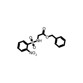 O=C(CNS(=O)(=O)c1ccccc1[N+](=O)[O-])OCc1ccccc1